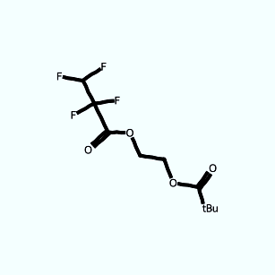 CC(C)(C)C(=O)OCCOC(=O)C(F)(F)C(F)F